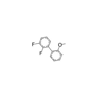 COc1[c]cccc1-c1cccc(F)c1F